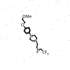 COCCOc1ccc(N2CCN(CCN(C)CC(F)(F)F)CC2)cc1